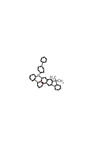 CC1(C)c2ccccc2-c2cc3ccc(N(c4ccc(-c5ccccc5)cc4)c4ccccc4-c4ccccc4)cc3cc21